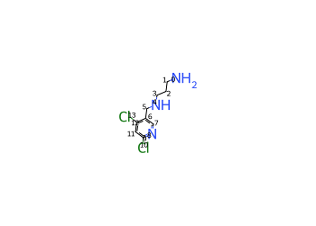 NCCCNCc1cnc(Cl)cc1Cl